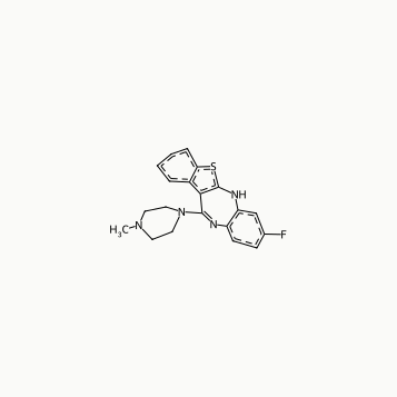 CN1CCN(C2=Nc3ccc(F)cc3Nc3sc4ccccc4c32)CC1